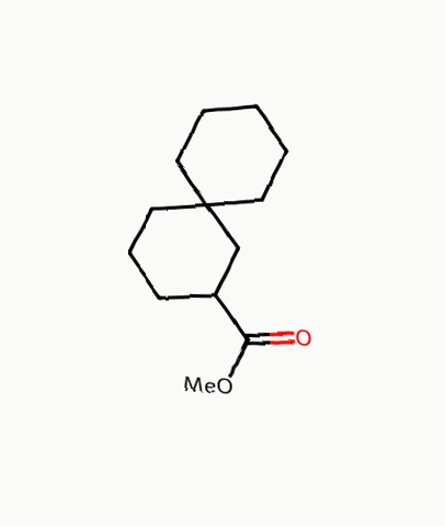 COC(=O)C1CCCC2(CCCCC2)C1